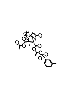 CC(=O)OC[C@@]1(C)[C@H](C(=O)OC(C)OS(=O)(=O)c2cccc(C)c2)N2C(=O)C[C@H]2S1(=O)=O